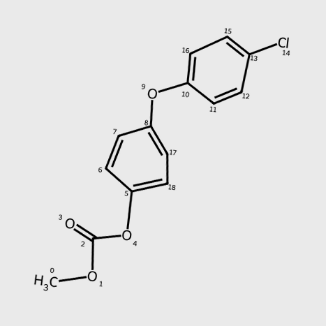 COC(=O)Oc1ccc(Oc2ccc(Cl)cc2)cc1